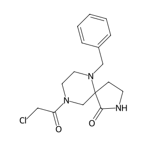 O=C(CCl)N1CCN(Cc2ccccc2)C2(CCNC2=O)C1